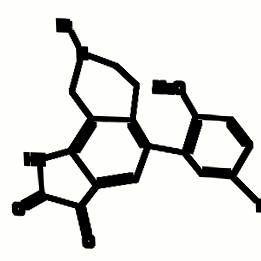 CCN1CCc2c(-c3cc(F)ccc3OC)cc3c(c2C1)NC(=O)C3=O